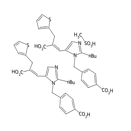 CCCCc1ncc(/C=C(\Cc2cccs2)C(=O)O)n1Cc1ccc(C(=O)O)cc1.CCCCc1ncc(/C=C(\Cc2cccs2)C(=O)O)n1Cc1ccc(C(=O)O)cc1.CS(=O)(=O)O